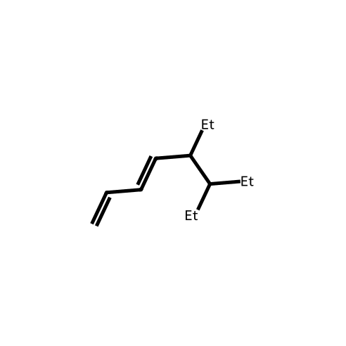 C=CC=CC(CC)C(CC)CC